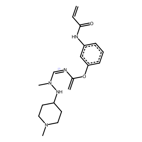 C=CC(=O)Nc1cccc(OC(=C)/N=C\N(C)NC2CCN(C)CC2)c1